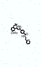 COc1ccc2c(c1)/C(=C/C(=O)c1ccc(C(=O)NCCc3ccccn3)cc1)NC(C)(C)C2